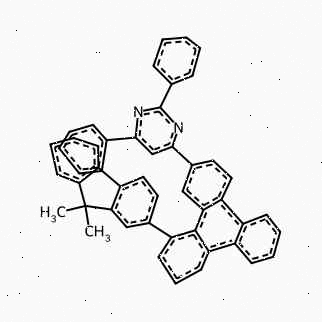 CC1(C)c2ccccc2-c2ccc(-c3cccc4c5ccccc5c5ccc(-c6cc(-c7ccccc7)nc(-c7ccccc7)n6)cc5c34)cc21